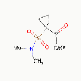 COC(=O)C1(S(=O)(=O)N(C)C(C)(C)C)CC1